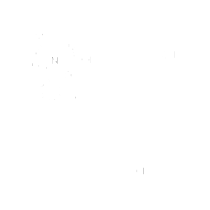 CCCCCCCCCCOc1cccc(C(=O)N(CC(=O)O)CC(=O)O)c1OCCCCCCCCCC